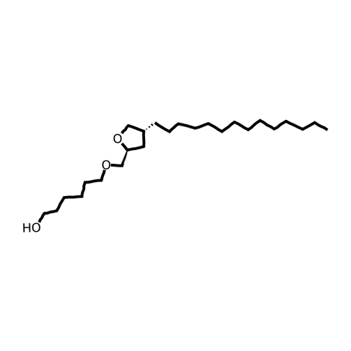 CCCCCCCCCCCCCC[C@H]1CO[C@H](COCCCCCCO)C1